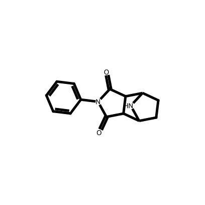 O=C1C2C3CCC(N3)C2C(=O)N1c1ccccc1